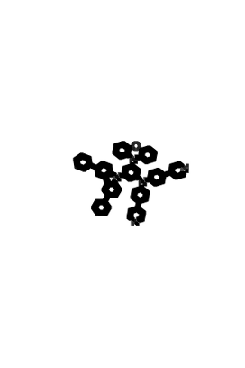 c1ccc(-c2ccc3c(c2)c2cc(-c4ccccc4)ccc2n3-c2cc(N(c3ccc(-c4ccncc4)cc3)c3ccc(-c4ccncc4)cc3)cc(N3c4ccccc4Oc4ccccc43)c2)cc1